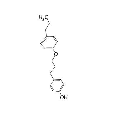 CCCc1ccc(OCCCc2ccc(O)cc2)cc1